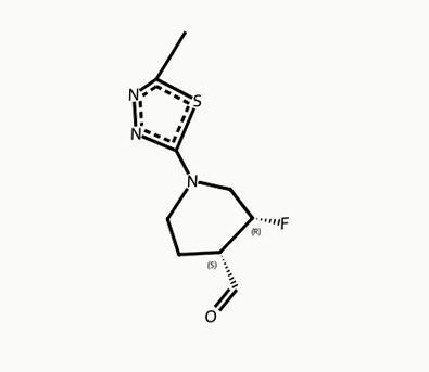 Cc1nnc(N2CC[C@@H](C=O)[C@@H](F)C2)s1